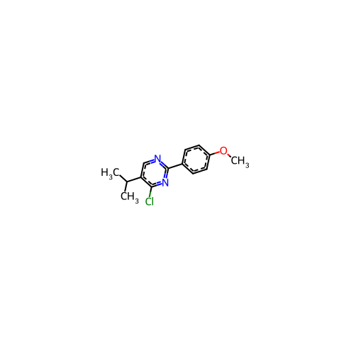 COc1ccc(-c2ncc(C(C)C)c(Cl)n2)cc1